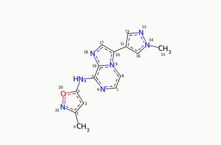 Cc1cc(Nc2nccn3c(-c4cnn(C)c4)cnc23)on1